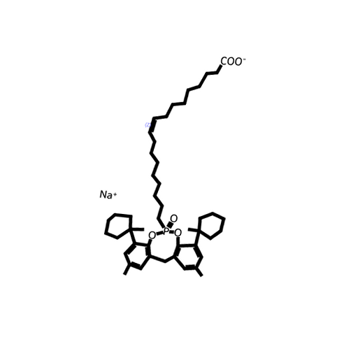 Cc1cc2c(c(C3(C)CCCCC3)c1)OP(=O)(CCCCCCCC/C=C\CCCCCCCC(=O)[O-])Oc1c(cc(C)cc1C1(C)CCCCC1)C2.[Na+]